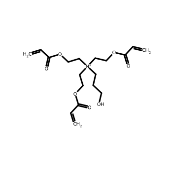 C=CC(=O)OCC[N+](CCCO)(CCOC(=O)C=C)CCOC(=O)C=C